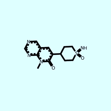 Cn1c(=O)c(C2CCS(=N)(=O)CC2)cc2cncnc21